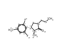 CSCN1C[C@@H](c2c(F)cc(C)cc2F)[C@H](C)C1=O